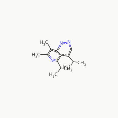 Cc1nc(C(C)C)c2c(C(C)C)cnnc2c1C